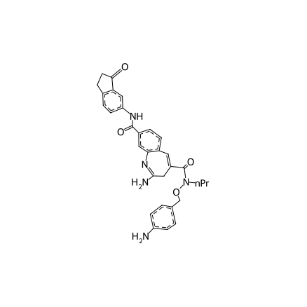 CCCN(OCc1ccc(N)cc1)C(=O)C1=Cc2ccc(C(=O)Nc3ccc4c(c3)C(=O)CC4)cc2N=C(N)C1